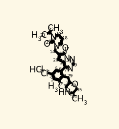 Cc1cc(Cl)cc(-c2ncnn3cc(Cn4c(=O)ccn(C(C)C)c4=O)cc23)c1CC1CN[C@@H](C)CO1.Cl